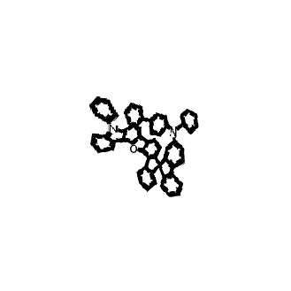 c1ccc(-c2ccc(N(c3ccccc3)c3ccc4c(c3)C3(c5ccccc5-4)c4ccccc4-c4c3ccc3c4oc4c3ccc3c4c4ccccc4n3-c3ccccc3)cc2)cc1